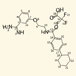 N=C(N)c1cccc(OCCNC(=O)c2ccc(C3CCCCC3)cc2)c1.O=C(O)C(F)(F)F